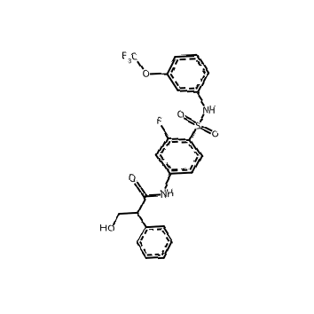 O=C(Nc1ccc(S(=O)(=O)Nc2cccc(OC(F)(F)F)c2)c(F)c1)C(CO)c1ccccc1